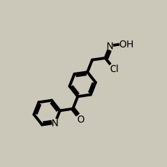 O=C(c1ccc(CC(Cl)=NO)cc1)c1ccccn1